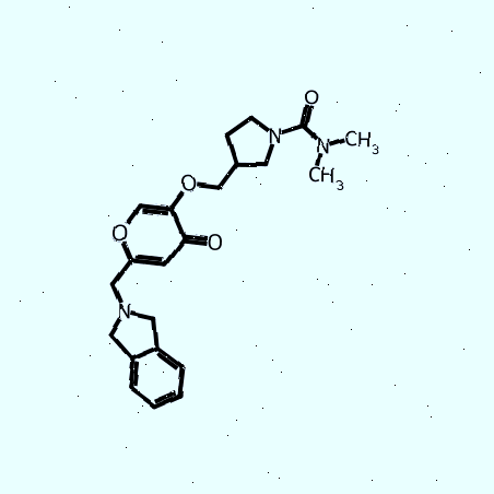 CN(C)C(=O)N1CCC(COc2coc(CN3Cc4ccccc4C3)cc2=O)C1